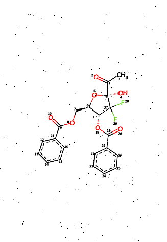 CC(=O)[C@]1(O)O[C@H](COC(=O)c2ccccc2)[C@@H](OC(=O)c2ccccc2)C1(F)F